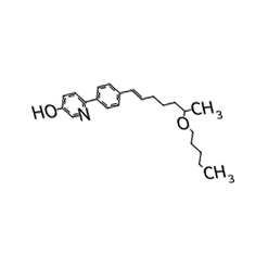 CCCCCOC(C)CCC/C=C/c1ccc(-c2ccc(O)cn2)cc1